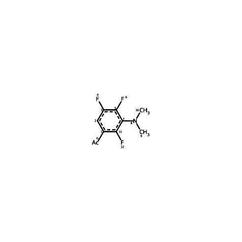 CC(=O)c1cc(F)c(F)c(N(C)C)c1F